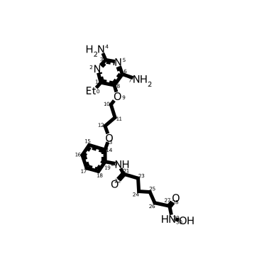 CCc1nc(N)nc(N)c1OCCCOc1ccccc1NC(=O)CCCCC(=O)NO